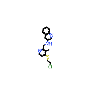 Cc1c(SCCCl)ccnc1CNc1cnc2ccccc2c1